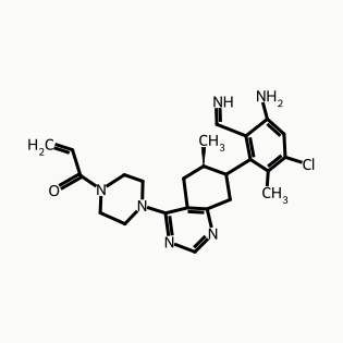 C=CC(=O)N1CCN(c2ncnc3c2C[C@@H](C)C(c2c(C)c(Cl)cc(N)c2C=N)C3)CC1